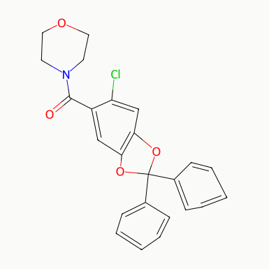 O=C(c1cc2c(cc1Cl)OC(c1ccccc1)(c1ccccc1)O2)N1CCOCC1